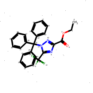 CCOC(=O)c1nc(C(F)(F)F)n(C(c2ccccc2)(c2ccccc2)c2ccccc2)n1